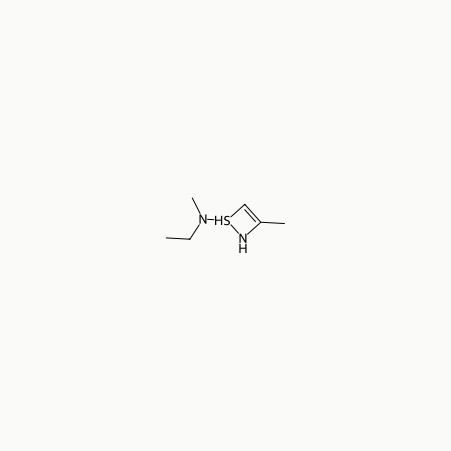 CCN(C)[SH]1C=C(C)N1